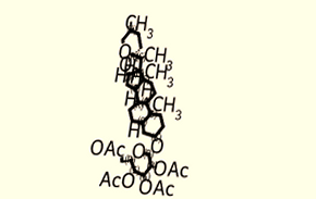 CC(=O)OC[C@H]1O[C@@H](O[C@H]2CC[C@@]3(C)[C@@H](CC[C@@H]4[C@@H]3CC[C@]3(C)[C@@H]5[C@H](C[C@@H]43)O[C@]3(CC[C@H](C)CO3)[C@H]5C)C2)[C@H](OC(C)=O)[C@@H](OC(C)=O)[C@H]1OC(C)=O